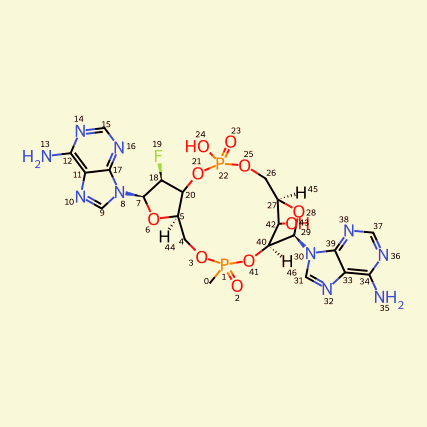 CP1(=O)OC[C@H]2O[C@@H](n3cnc4c(N)ncnc43)[C@@H](F)C2OP(=O)(O)OC[C@H]2O[C@@H](n3cnc4c(N)ncnc43)[C@@H](O1)C2O